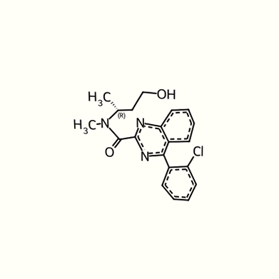 C[C@H](CCO)N(C)C(=O)c1nc(-c2ccccc2Cl)c2ccccc2n1